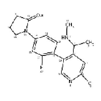 CNC(C)c1cc(Cl)ncc1-c1ccc(N2CCCC2=O)cc1F